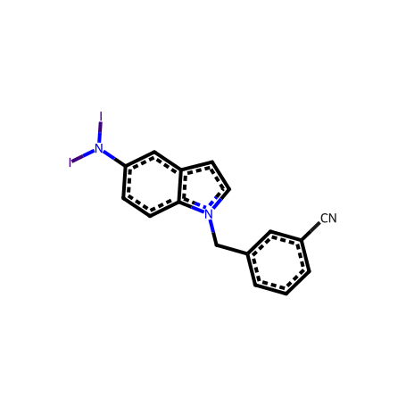 N#Cc1cccc(Cn2ccc3cc(N(I)I)ccc32)c1